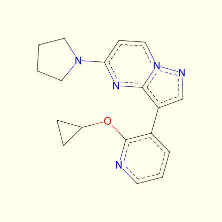 c1cnc(OC2CC2)c(-c2cnn3ccc(N4CCCC4)nc23)c1